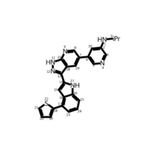 CC(C)Nc1cncc(-c2cnc3[nH]nc(-c4cc5c(-c6cccs6)cccc5[nH]4)c3c2)c1